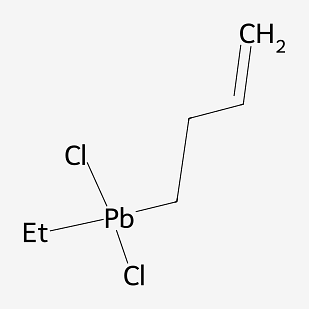 C=CC[CH2][Pb]([Cl])([Cl])[CH2]C